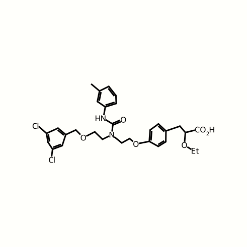 CCOC(Cc1ccc(OCCN(CCOCc2cc(Cl)cc(Cl)c2)C(=O)Nc2cccc(C)c2)cc1)C(=O)O